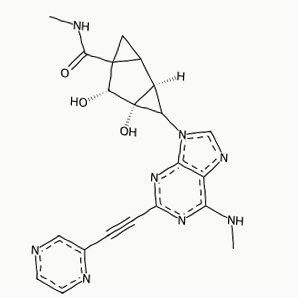 CNC(=O)C12CC1[C@H]1C(n3cnc4c(NC)nc(C#Cc5cnccn5)nc43)[C@@]1(O)[C@@H]2O